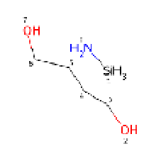 N[SiH3].OCCCCO